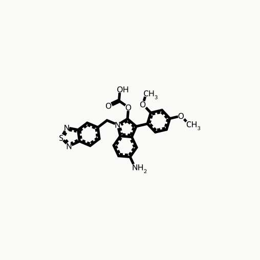 COc1ccc(-c2c(OC(=O)O)n(Cc3ccc4nsnc4c3)c3ccc(N)cc23)c(OC)c1